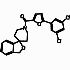 O=C(c1ccc(-c2cc(Cl)cc(Cl)c2)o1)N1CCC2(CC1)OCc1ccccc12